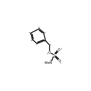 CNS(=O)(=O)OCc1ccccc1